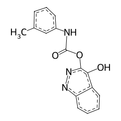 Cc1cccc(NC(=O)Oc2nnc3ccccc3c2O)c1